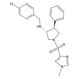 Cn1cnc(S(=O)(=O)N2C[C@H](NCc3ccc(Cl)cc3)[C@@H](c3ccccc3)C2)c1